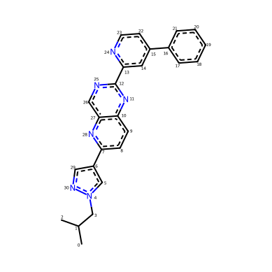 CC(C)Cn1cc(-c2ccc3nc(-c4cc(-c5ccccc5)ccn4)ncc3n2)cn1